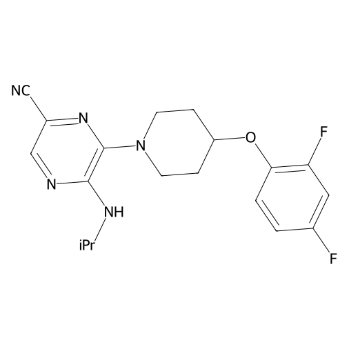 CC(C)Nc1ncc(C#N)nc1N1CCC(Oc2ccc(F)cc2F)CC1